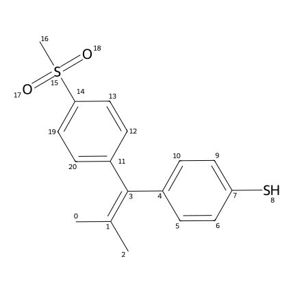 CC(C)=C(c1ccc(S)cc1)c1ccc(S(C)(=O)=O)cc1